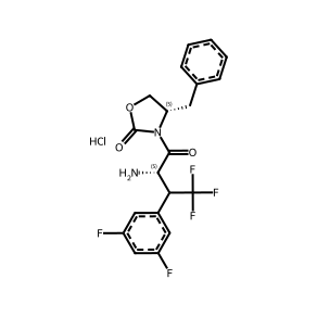 Cl.N[C@H](C(=O)N1C(=O)OC[C@@H]1Cc1ccccc1)C(c1cc(F)cc(F)c1)C(F)(F)F